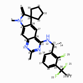 C=C1N(C)c2cc3nc(C)nc(N[C@H](C)c4cccc(C(F)(F)C(C)C)c4F)c3cc2C12CCCC2